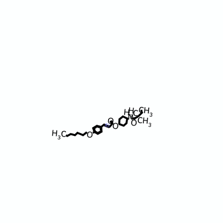 CCCCCCCOc1ccc(/C=C/C(=O)OC2CCC(NC(=O)C(C)(C)CC)CC2)cc1